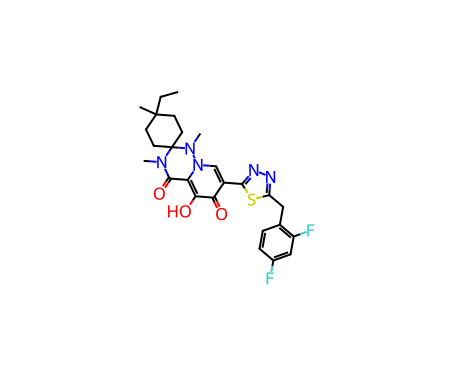 CCC1(C)CCC2(CC1)N(C)C(=O)c1c(O)c(=O)c(-c3nnc(Cc4ccc(F)cc4F)s3)cn1N2C